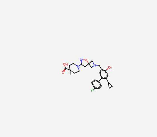 COc1cc(C2CC2)c(-c2ccc(F)cc2)cc1CN1CC2(CC(N3CCC(C)(C(=O)O)CC3)=NO2)C1